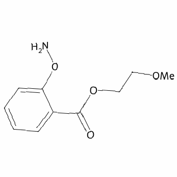 COCCOC(=O)c1ccccc1ON